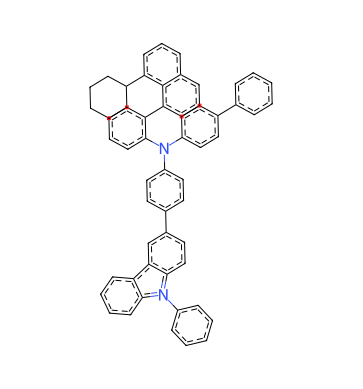 c1ccc(-c2ccc(N(c3ccc(-c4ccc5c(c4)c4ccccc4n5-c4ccccc4)cc3)c3ccccc3-c3cccc4cccc(C5CCCCC5)c34)cc2)cc1